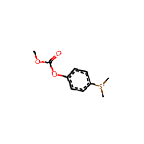 COC(=O)Oc1ccc([S+](C)C)cc1